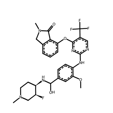 COc1cc(C(O)N[C@@H]2CCN(C)C[C@@H]2F)ccc1Nc1ncc(C(F)(F)F)c(Oc2cccc3c2C(=O)N(C)C3)n1